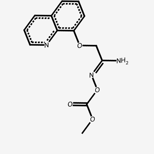 COC(=O)ON=C(N)COc1cccc2cccnc12